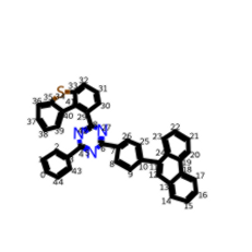 c1ccc(-c2nc(-c3ccc(-c4cc5ccccc5c5ccccc45)cc3)nc(-c3cccc4sc5ccccc5c34)n2)cc1